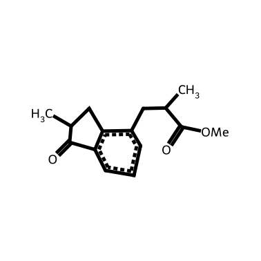 COC(=O)C(C)Cc1cccc2c1CC(C)C2=O